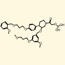 COCCCOc1cc(COC2CN(C(=O)CON(O)O)CC[C@@H]2c2ccc(OCCCOCc3ccccc3OC)cc2)cc(OC)c1